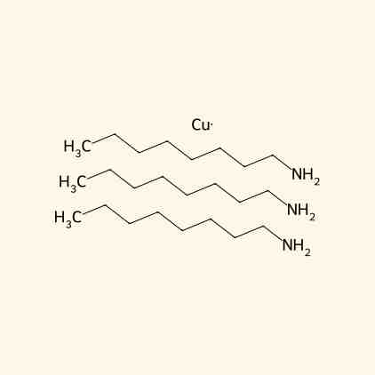 CCCCCCCCN.CCCCCCCCN.CCCCCCCCN.[Cu]